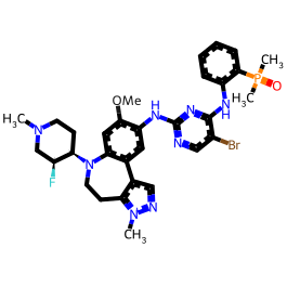 COc1cc2c(cc1Nc1ncc(Br)c(Nc3ccccc3P(C)(C)=O)n1)-c1cnn(C)c1CCN2[C@@H]1CCN(C)C[C@@H]1F